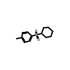 Cc1ccc(S(=O)(=O)C2CC[CH]CC2)cc1